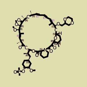 CO[C@@H]1/C(C)=C/[C@@H](C)C(=O)C[C@@H]([C@H](C)C[C@@H]2CC[C@@H](OP(C)(C)=O)[C@H](OC)C2)OC(=O)[C@@H]2CCCCN2C(=O)C(=O)[C@]2(O)O[C@@H](CC[C@H]2C)C[C@H](OCC2COCCO2)/C(C)=C/C=C/C=C/[C@@H](C)C[C@@H](C)C(=O)[C@@H]1OC